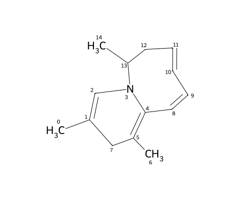 CC1=CN2C(=C(C)C1)/C=C\C=C\CC2C